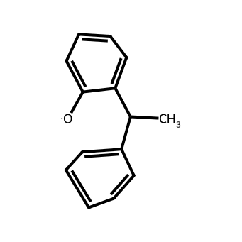 CC(c1ccccc1)c1ccccc1[O]